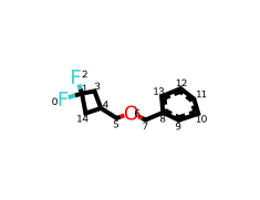 FC1(F)CC(COCc2ccccc2)C1